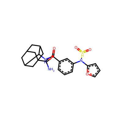 NC(=O)C12CC3CC(C1)C(NC(=O)c1cccc(N(c4ccco4)[SH](=O)=O)c1)C(C3)C2